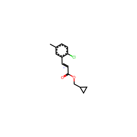 Cc1ccc(Cl)c(/C=C/C(=O)OCC2CC2)c1